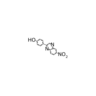 O=[N+]([O-])c1ccc2nc(-c3ccc(O)cc3)cnc2c1